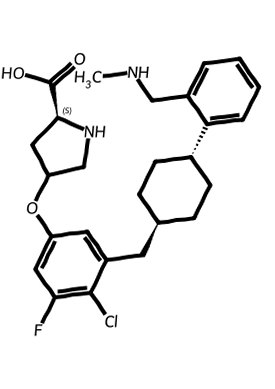 CNCc1ccccc1[C@H]1CC[C@H](Cc2cc(OC3CN[C@H](C(=O)O)C3)cc(F)c2Cl)CC1